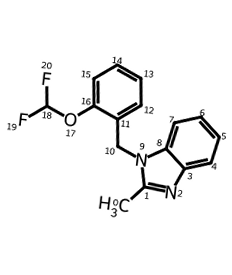 Cc1nc2ccccc2n1Cc1ccccc1OC(F)F